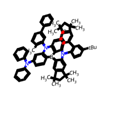 Cc1ccc(-c2ccccc2)cc1N1c2cc(N(c3ccccc3)c3ccccc3)ccc2B2c3cc4c(cc3N(c3ccc(C(C)(C)C)cc3-c3ccc5c(c3)C(C)(C)CC5(C)C)c3cc(C(C)(C)C)cc1c32)C(C)(C)CC4(C)C